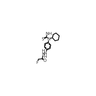 NC(=S)N(c1ccc(NNC(=O)CF)cc1)C1CCCCC1